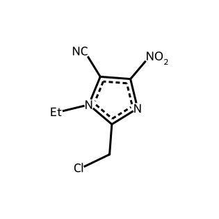 CCn1c(CCl)nc([N+](=O)[O-])c1C#N